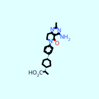 Cc1nc(N)c2c(n1)CCN(c1ccc([C@H]3CC[C@@H](C(C)C(=O)O)CC3)cc1)C2=O